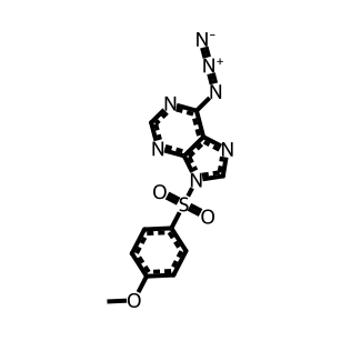 COc1ccc(S(=O)(=O)n2cnc3c(N=[N+]=[N-])ncnc32)cc1